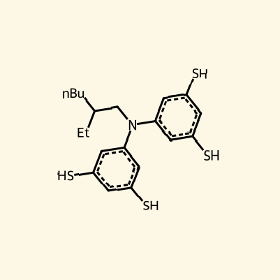 CCCCC(CC)CN(c1cc(S)cc(S)c1)c1cc(S)cc(S)c1